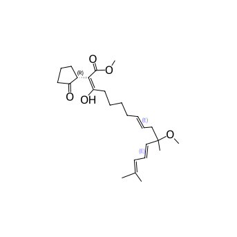 COC(=O)C(=C(O)CCCC/C=C/CC(C)(/C=C/C=C(C)C)OC)[C@H]1CCCC1=O